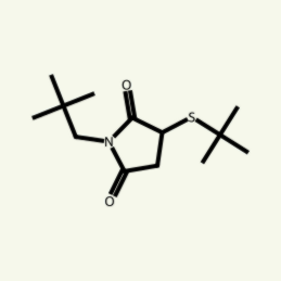 CC(C)(C)CN1C(=O)CC(SC(C)(C)C)C1=O